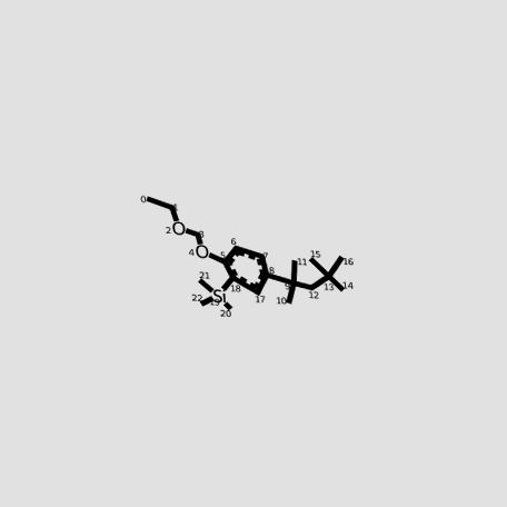 CCOCOc1ccc(C(C)(C)CC(C)(C)C)cc1[Si](C)(C)C